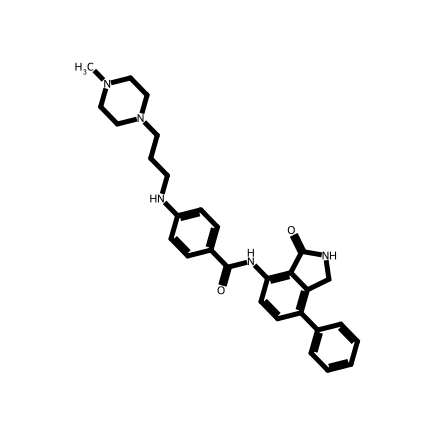 CN1CCN(CCCNc2ccc(C(=O)Nc3ccc(-c4ccccc4)c4c3C(=O)NC4)cc2)CC1